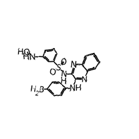 Bc1ccc(Nc2nc3ccccc3nc2NS(=O)(=O)c2cccc(NO)c2)cc1